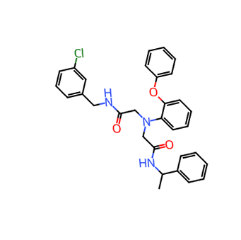 CC(NC(=O)CN(CC(=O)NCc1cccc(Cl)c1)c1ccccc1Oc1ccccc1)c1ccccc1